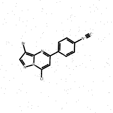 [C-]#[N+]c1ccc(-c2cc(Cl)n3ncc(Br)c3n2)cc1